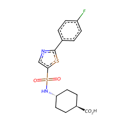 O=C(O)[C@H]1CC[C@H](NS(=O)(=O)c2cnc(-c3ccc(F)cc3)s2)CC1